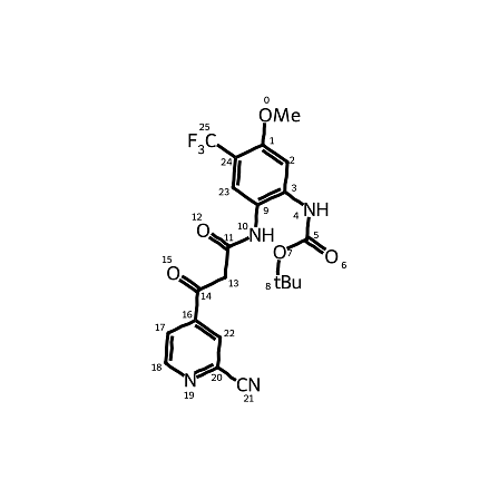 COc1cc(NC(=O)OC(C)(C)C)c(NC(=O)CC(=O)c2ccnc(C#N)c2)cc1C(F)(F)F